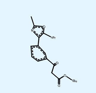 CCCc1oc(C)nc1-c1cccc(C(=O)CC(=O)OC(C)(C)C)c1